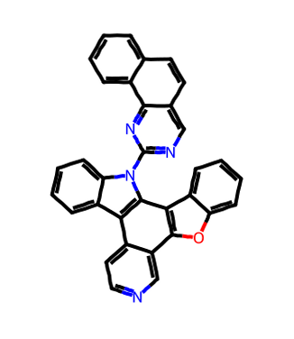 c1ccc2c(c1)ccc1cnc(-n3c4ccccc4c4c5ccncc5c5oc6ccccc6c5c43)nc12